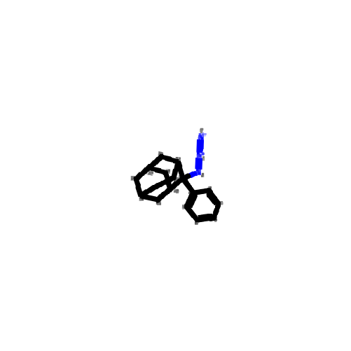 [N-]=[N+]=NC1(c2ccccc2)C2CC3CC(C2)CC1C3